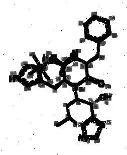 CC(C)CC([C@H](O)c1c[nH]cn1)N(C(=O)[C@H](Cc1ccccc1)NC(=O)OC(C)(C)C)[C@@H](Cc1c[nH]cn1)C(N)=O